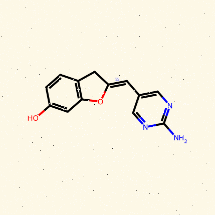 Nc1ncc(/C=C2/Cc3ccc(O)cc3O2)cn1